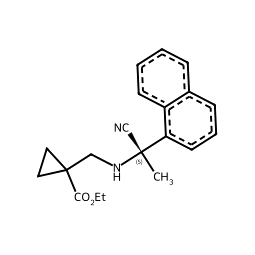 CCOC(=O)C1(CN[C@](C)(C#N)c2cccc3ccccc23)CC1